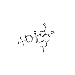 COc1c(C=O)cn(S(=O)(=O)c2ccc(C(F)(F)F)nc2)c1-c1c(F)cc(F)cc1F